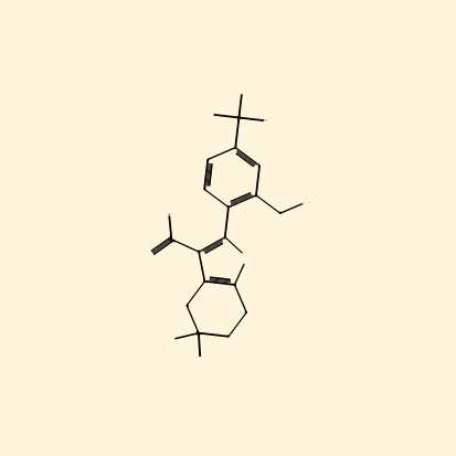 C=C(C)c1c(-c2ccc(C(F)(F)F)cc2CN)sc2c1CC(C)(C)CC2